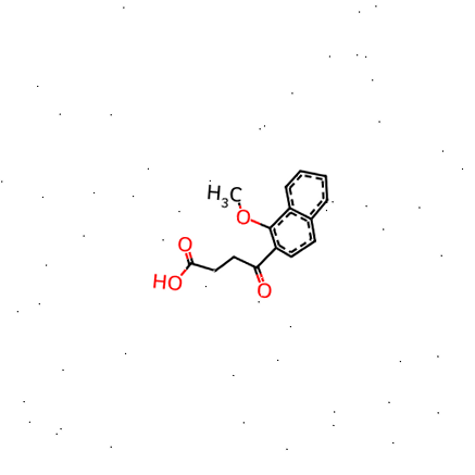 COc1c(C(=O)CCC(=O)O)ccc2ccccc12